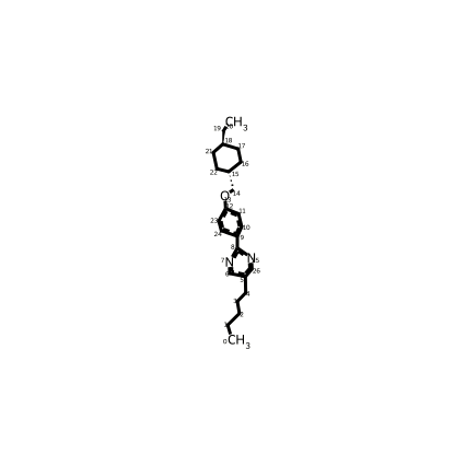 CCCCCc1cnc(-c2ccc(OC[C@H]3CC[C@H](CC)CC3)cc2)nc1